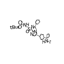 CC(C)(C)OC(=O)NCC[S+]([O-])c1nc(-c2ccccc2)cn2c(-c3ccc(C(=O)NC4CC4)cc3)cnc12